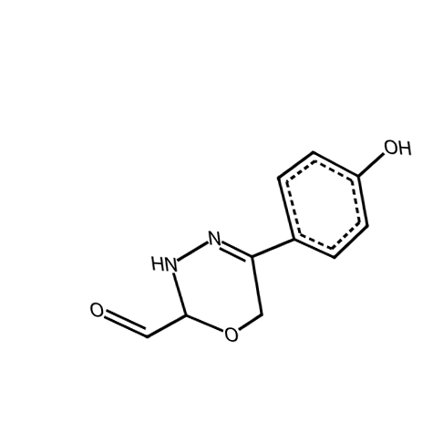 O=CC1NN=C(c2ccc(O)cc2)CO1